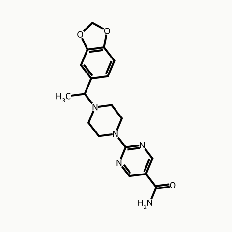 CC(c1ccc2c(c1)OCO2)N1CCN(c2ncc(C(N)=O)cn2)CC1